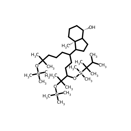 CC(C)C(C)(C)[Si](C)(C)OC(CCC(CCCC(C)(C)O[Si](C)(C)C)C1CCC2[C@@H](O)CCC[C@]12C)C(C)(C)O[Si](C)(C)C